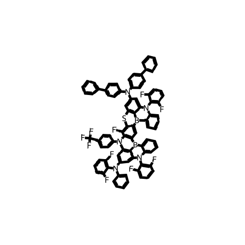 Fc1cccc(F)c1N(c1ccccc1)c1cc2c3c(c1)N(c1c(F)cccc1F)c1ccccc1B3c1cc3c(c(F)c1N2c1ccc(C(F)(F)F)cc1)Sc1cc(N(c2ccc(-c4ccccc4)cc2)c2ccc(-c4ccccc4)cc2)cc2c1B3c1ccccc1N2c1c(F)cccc1F